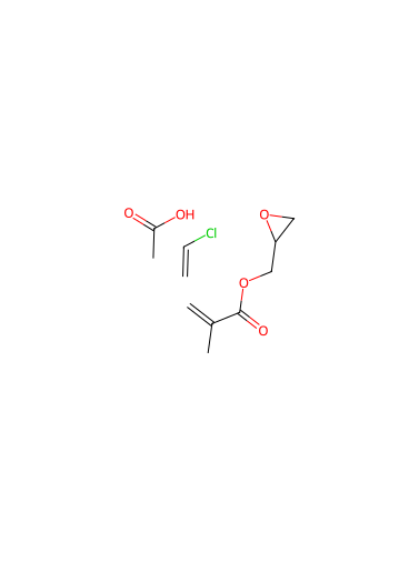 C=C(C)C(=O)OCC1CO1.C=CCl.CC(=O)O